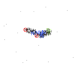 Cc1c(C(=O)Nc2ccc(C3CCC(=O)CC3)nc2)cnn1-c1ccc(C(F)(F)F)cn1